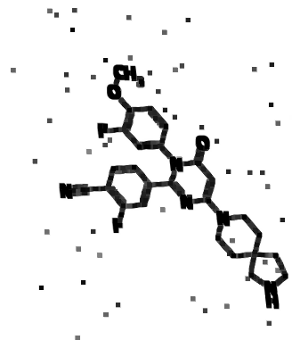 COc1ccc(-n2c(-c3ccc(C#N)c(F)c3)nc(N3CCC4(CCNC4)CC3)cc2=O)cc1F